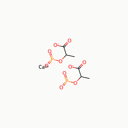 CC(OP(=O)=O)C(=O)[O-].CC(OP(=O)=O)C(=O)[O-].[Ca+2]